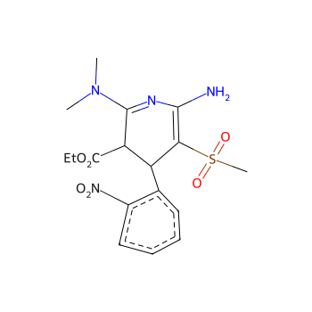 CCOC(=O)C1C(N(C)C)=NC(N)=C(S(C)(=O)=O)C1c1ccccc1[N+](=O)[O-]